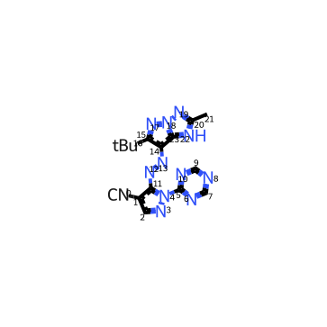 [C-]#[N+]c1cnn(-c2ncncn2)c1/N=N/c1c(C(C)(C)C)nn2nc(C)[nH]c12